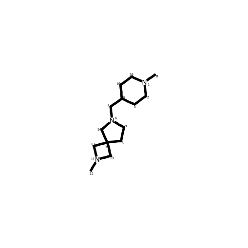 CN1CCC(CN2CCC3(CN(C)C3)C2)CC1